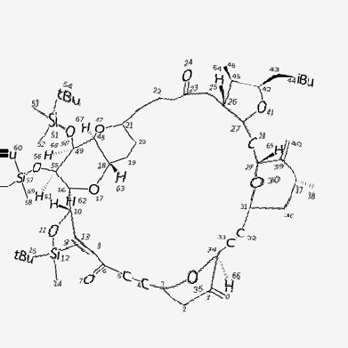 C=C1CC2CCC(=O)/C=C/[C@H](O[Si](C)(C)C(C)(C)C)[C@@H]3O[C@H]4CCC(CC(=O)C[C@H]5C(C[C@H]6OC(CC[C@@H]1O2)C[C@@H](C)C6=C)O[C@H](C[C@H](C)CC)[C@@H]5C)O[C@@H]4[C@H](O[Si](C)(C)C(C)(C)C)[C@@H]3O[Si](C)(C)C(C)(C)C